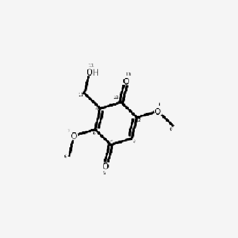 COC1=CC(=O)C(OC)=C(CO)C1=O